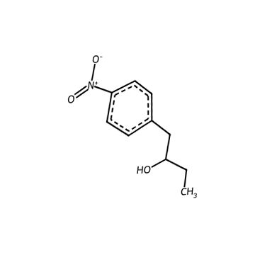 CCC(O)Cc1ccc([N+](=O)[O-])cc1